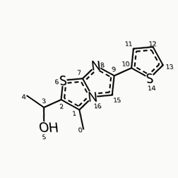 Cc1c(C(C)O)sc2nc(-c3cccs3)cn12